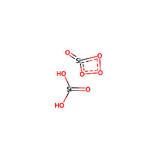 O=[Si](O)O.O=[si]1ooo1